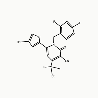 CCC(F)(F)c1cc(-c2cc(Br)co2)n(Cc2ccc(F)cc2F)c(=O)c1C#N